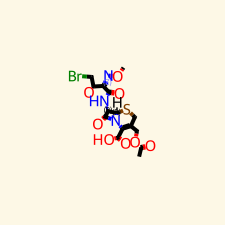 CO/N=C(/C(=O)CBr)C(=O)N[C@@H]1C(=O)N2C(C(=O)O)=C(COC(C)=O)CS[C@H]12